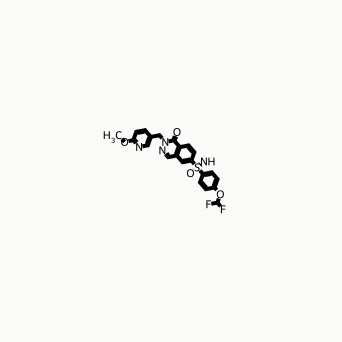 COc1ccc(Cn2ncc3cc(S(=N)(=O)c4ccc(OC(F)F)cc4)ccc3c2=O)cn1